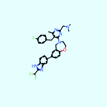 Cc1nc(CN(C)C)nc(N2CCOc3ccc(-c4ccc5[nH]c(C(F)F)nc5c4)cc3C2)c1Cc1ccc(F)cc1